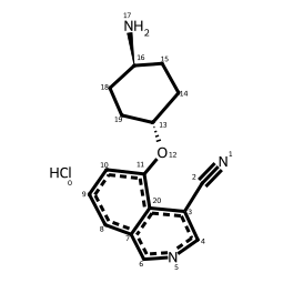 Cl.N#Cc1cncc2cccc(O[C@H]3CC[C@H](N)CC3)c12